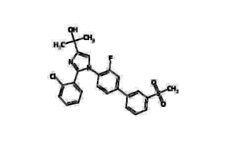 CC(C)(O)c1cn(-c2ccc(-c3cccc(S(C)(=O)=O)c3)cc2F)c(-c2ccccc2Cl)n1